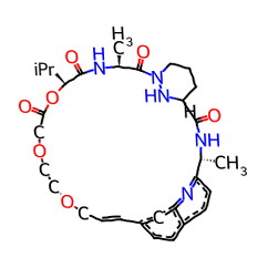 CC(C)[C@@H]1OC(=O)COCCOC/C=C/c2ccc3ccc(nc3c2)[C@@H](C)NC(=O)[C@@H]2CCCN(N2)C(=O)[C@H](C)NC1=O